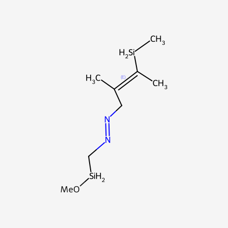 CO[SiH2]CN=NC/C(C)=C(\C)[SiH2]C